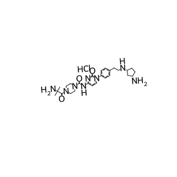 CC(C)(N)C(=O)N1CCN(C(=O)Nc2ccn(-c3ccc(CCN[C@@H]4CC[C@H](N)C4)cc3)c(=O)n2)CC1.Cl